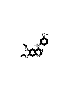 CCOc1cc2ncnc(Nc3cccc(O)c3)c2cc1OCC